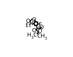 CCN1C(=O)COc2cc(F)c(N3C(=O)OC(=C(C)C)C3=O)cc21